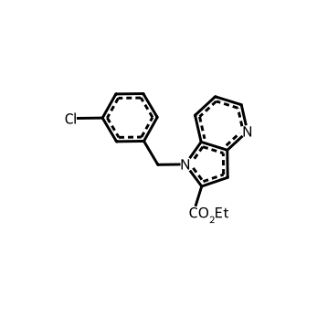 CCOC(=O)c1cc2ncccc2n1Cc1cccc(Cl)c1